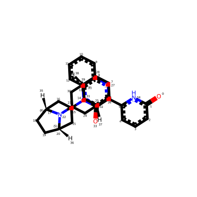 O=c1cccc(-c2nc3ccccc3n(C3C[C@H]4CC[C@@H](C3)N4C3C[C@H]4CCC[C@@H](C3)C4)c2=O)[nH]1